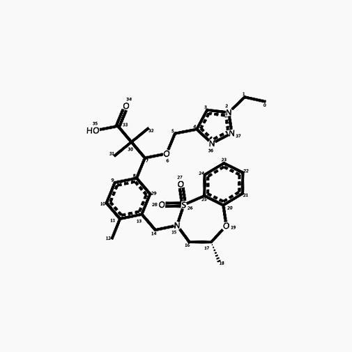 CCn1cc(COC(c2ccc(C)c(CN3C[C@@H](C)Oc4ccccc4S3(=O)=O)c2)C(C)(C)C(=O)O)nn1